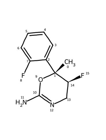 C[C@]1(c2ccccc2F)OC(N)=NC[C@@H]1F